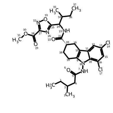 CCC(C)CC(=O)Nn1c2c(c3cc(Cl)cc(Cl)c31)C[C@@H](C(=O)NC(c1nc(C(=O)OC)no1)C(C)CC)CC2